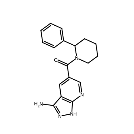 Nc1n[nH]c2ncc(C(=O)N3CCCCC3c3ccccc3)cc12